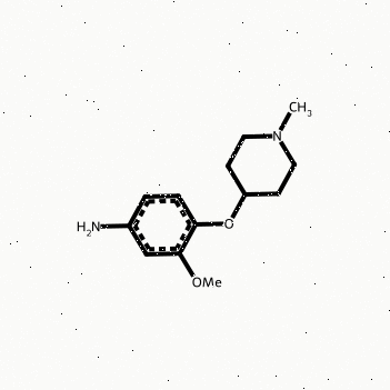 COc1cc(N)ccc1OC1CCN(C)CC1